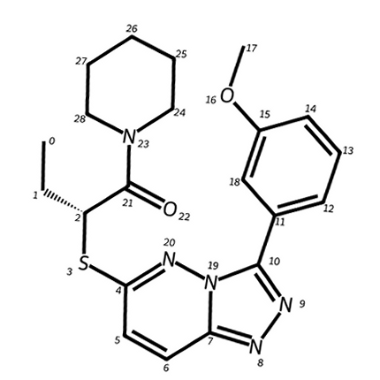 CC[C@@H](Sc1ccc2nnc(-c3cccc(OC)c3)n2n1)C(=O)N1CCCCC1